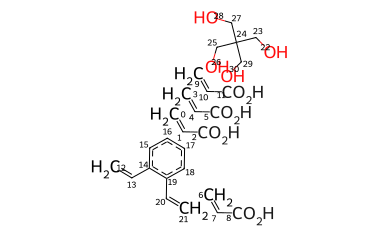 C=CC(=O)O.C=CC(=O)O.C=CC(=O)O.C=CC(=O)O.C=Cc1ccccc1C=C.OCC(CO)(CO)CO